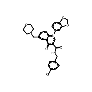 O=C(NCc1ccc(Cl)cc1)c1cn(-c2ccc3c(c2)OCO3)c2ccc(CN3CCOCC3)cc2c1=O